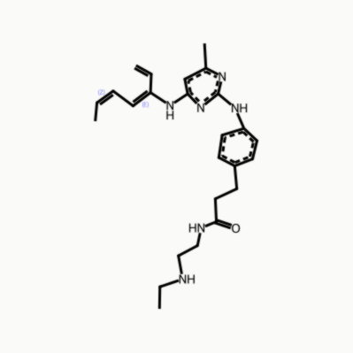 C=C/C(=C\C=C/C)Nc1cc(C)nc(Nc2ccc(CCC(=O)NCCNCC)cc2)n1